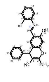 N#CC1=C(N)Oc2cc(O)c(/C=N/c3ccccc3I)cc2C1c1ccccc1